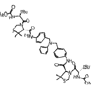 COC(=O)N[C@H](C(=O)N1CSC(C)(C)[C@H]1C(=O)Nc1ccc(CN(Cc2ccc(NC(=O)[C@H]3N(C(=O)[C@@H](NC(=O)OC)C(C)(C)C)CSC3(C)C)cc2)c2ccccc2)cc1)C(C)(C)C